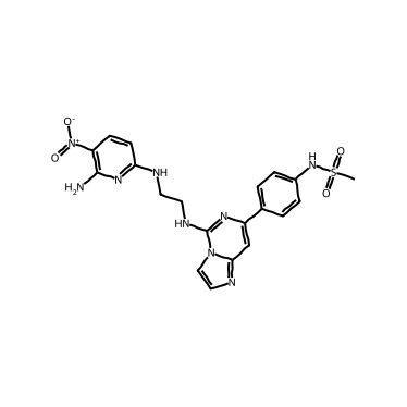 CS(=O)(=O)Nc1ccc(-c2cc3nccn3c(NCCNc3ccc([N+](=O)[O-])c(N)n3)n2)cc1